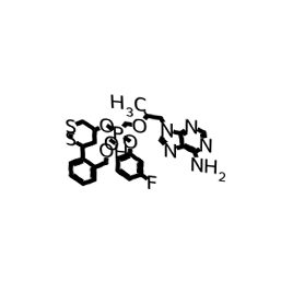 C[C@H](Cn1cnc2c(N)ncnc21)OCP(=O)(Oc1cccc(F)c1)OC1CSSC(c2ccccc2CO)C1